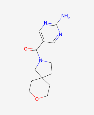 Nc1ncc(C(=O)N2CCC3(CCOCC3)C2)cn1